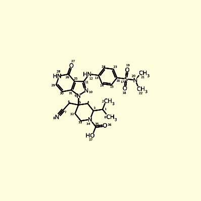 CC(C)C1CC(CC#N)(n2nc(Nc3ccc(S(=O)(=O)N(C)C)cc3)c3c(=O)[nH]ccc32)CCN1C(=O)O